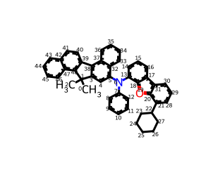 CC1(C)c2cc(N(c3ccccc3)c3cccc4c3oc3c(C5CCCCC5)cccc34)c3ccccc3c2-c2ccc3ccccc3c21